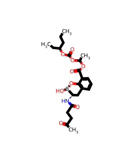 CCCC(CC)OC(=O)OC(C)OC(=O)c1cccc2c1OB(O)[C@@H](NC(=O)CCC(C)=O)C2